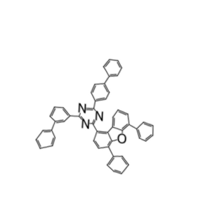 c1ccc(-c2ccc(-c3nc(-c4cccc(-c5ccccc5)c4)nc(-c4ccc(-c5ccccc5)c5oc6c(-c7ccccc7)cccc6c45)n3)cc2)cc1